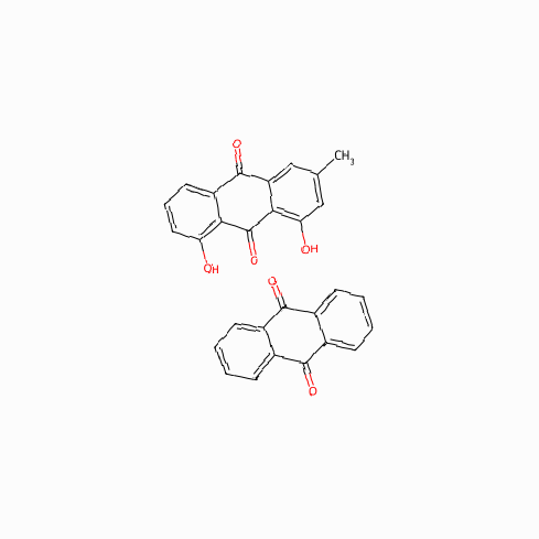 Cc1cc(O)c2c(c1)C(=O)c1cccc(O)c1C2=O.O=C1c2ccccc2C(=O)c2ccccc21